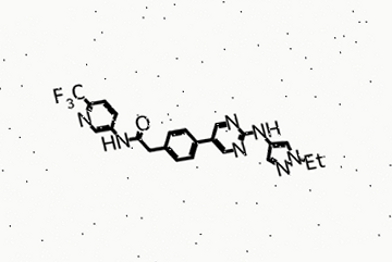 CCn1cc(Nc2ncc(-c3ccc(CC(=O)Nc4ccc(C(F)(F)F)nc4)cc3)cn2)cn1